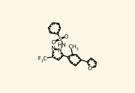 Cc1cc(-c2ccco2)ccc1-c1cc(C(F)(F)F)nn1NS(=O)(=O)c1ccccc1